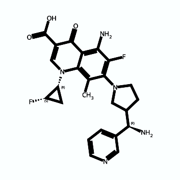 Cc1c(N2CCC([C@@H](N)c3cccnc3)C2)c(F)c(N)c2c(=O)c(C(=O)O)cn([C@@H]3C[C@@H]3F)c12